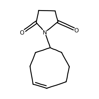 O=C1CCC(=O)N1C1CC/C=C\CCC1